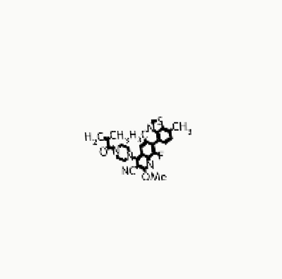 C=C(C)C(=O)N1CCN(c2c(C#N)c(OC)nc3c(F)c(-c4ccc(C)c5scnc45)c(C)cc23)CC1